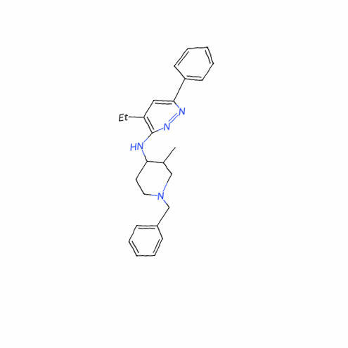 CCc1cc(-c2ccccc2)nnc1NC1CCN(Cc2ccccc2)CC1C